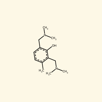 Cc1ccc(CN(C)C)c(O)c1CN(C)C